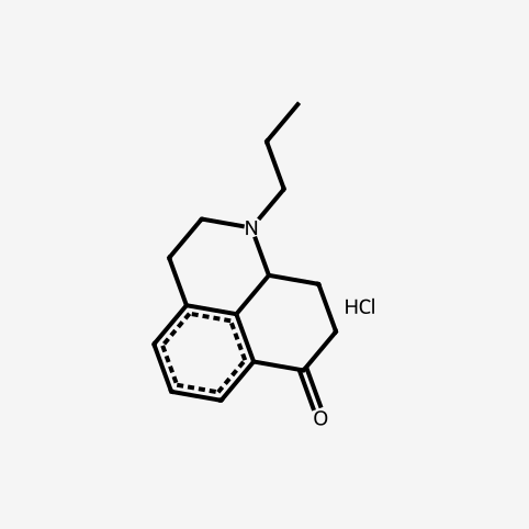 CCCN1CCc2cccc3c2C1CCC3=O.Cl